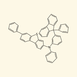 c1ccc(-c2ccc3c(c2)sc2cc(N(c4ccccc4)c4cccc(C5(c6ccccc6)c6ccccc6-c6ccccc65)c4)ccc23)cc1